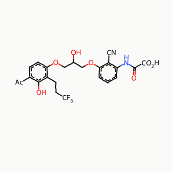 CC(=O)c1ccc(OCC(O)COc2cccc(NC(=O)C(=O)O)c2C#N)c(CCC(F)(F)F)c1O